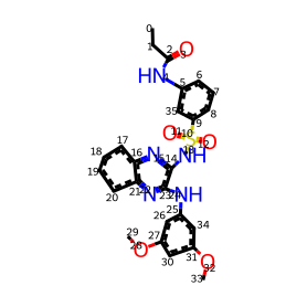 CCC(=O)Nc1cccc(S(=O)(=O)Nc2nc3ccccc3nc2Nc2cc(OC)cc(OC)c2)c1